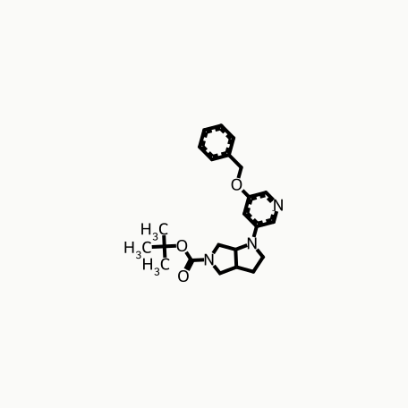 CC(C)(C)OC(=O)N1CC2CCN(c3cncc(OCc4ccccc4)c3)C2C1